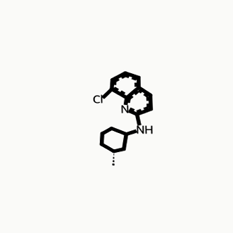 C[C@@H]1CCCC(Nc2ccc3cccc(Cl)c3n2)C1